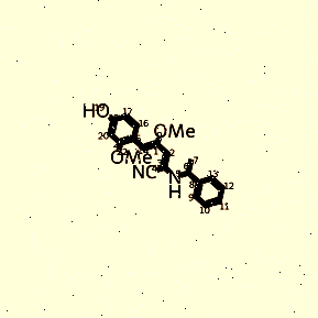 COC(C=C(C#N)NC(C)c1ccccc1)=Cc1ccc(O)cc1OC